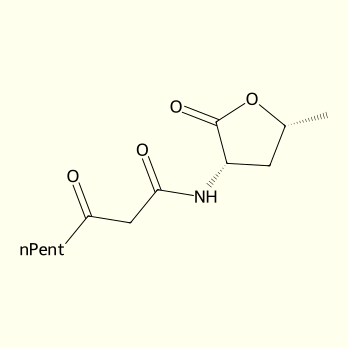 CCCCCC(=O)CC(=O)N[C@H]1C[C@@H](C)OC1=O